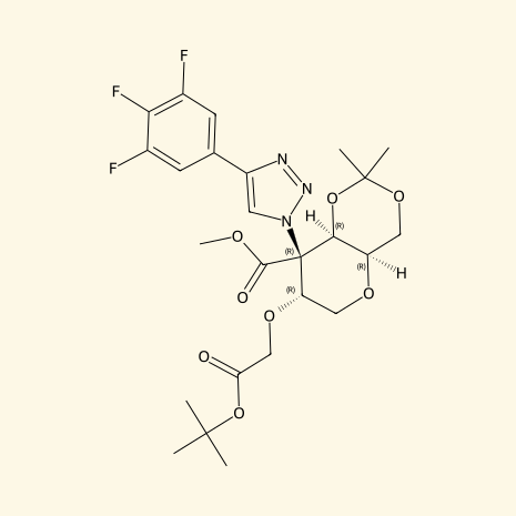 COC(=O)[C@@]1(n2cc(-c3cc(F)c(F)c(F)c3)nn2)[C@@H](OCC(=O)OC(C)(C)C)CO[C@@H]2COC(C)(C)O[C@@H]21